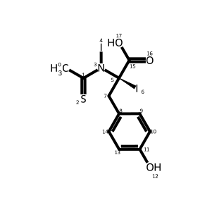 CC(=S)N(I)[C@@](I)(Cc1ccc(O)cc1)C(=O)O